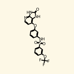 O=c1[nH]c2nccc(Oc3cccc(NS(=O)(=O)c4cccc(OC(F)(F)F)c4)c3)c2[nH]1